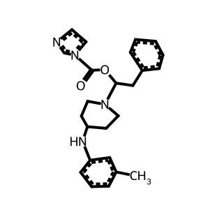 Cc1cccc(NC2CCN(C(Cc3ccccc3)OC(=O)n3ccnc3)CC2)c1